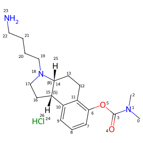 CN(C)C(=O)Oc1cccc2c1CC[C@@H]1[C@H]2CCN1CCCCN.Cl